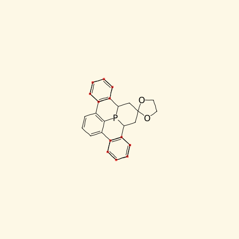 c1ccc(-c2cccc(-c3ccccc3)c2P2C(C3CCCCC3)CC3(CC2C2CCCCC2)OCCO3)cc1